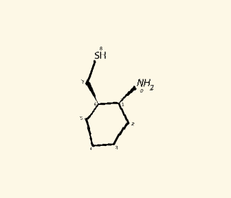 N[C@H]1CCCC[C@H]1CS